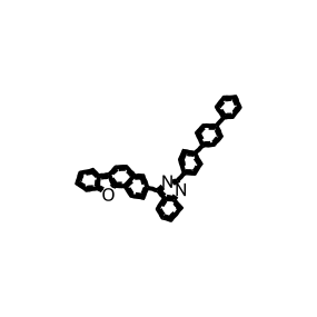 c1ccc(-c2ccc(-c3ccc(-c4nc(-c5ccc6c(ccc7c8ccccc8oc67)c5)c5ccccc5n4)cc3)cc2)cc1